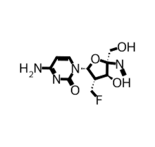 C=N[C@]1(CO)O[C@@H](n2ccc(N)nc2=O)[C@@H](CF)[C@@H]1O